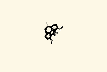 COc1ccc2c3c1O[C@H]1[C@@]4(OC)C=C[C@@]5(C[C@@H]4C(C)=O)[C@H](CCC[C@]315)C2